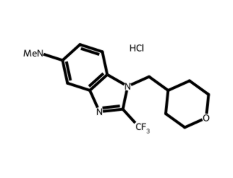 CNc1ccc2c(c1)nc(C(F)(F)F)n2CC1CCOCC1.Cl